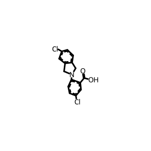 O=C(O)c1cc(Cl)ccc1N1Cc2ccc(Cl)cc2C1